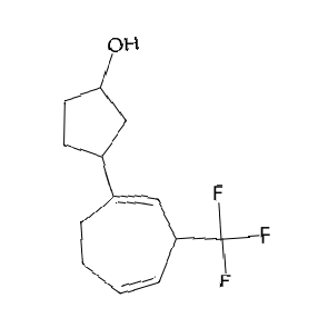 OC1CCC(C2=CC(C(F)(F)F)C=CCC2)C1